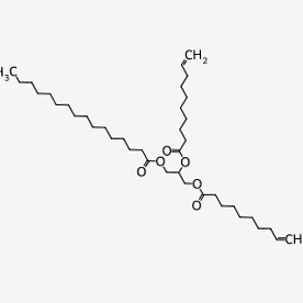 C=CCCCCCCCC(=O)OCC(COC(=O)CCCCCCCCCCCCCCC)OC(=O)CCCCCCCC=C